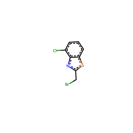 Clc1cccc2sc(CBr)nc12